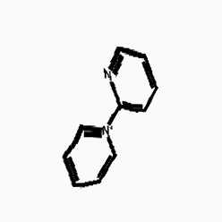 c1cc[n+](-c2ccccn2)cc1